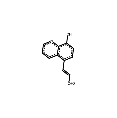 O=CC=Cc1ccc(O)c2ncccc12